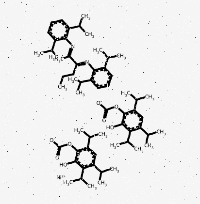 CC(C)c1cc(C(C)C)c(C(C)C)c(O)c1OC(=O)[O-].CC(C)c1cc(C(C)C)c(C(C)C)c(O)c1OC(=O)[O-].CCCC(=Nc1c(C(C)C)cccc1C(C)C)C(C)=Nc1c(C(C)C)cccc1C(C)C.[Ni+2]